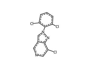 Clc1cccc(Cl)c1-n1cc2cncc(Cl)c2n1